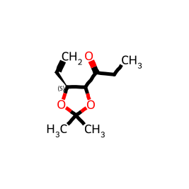 C=C[C@@H]1OC(C)(C)OC1C(=O)CC